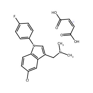 CN(C)Cc1cn(-c2ccc(F)cc2)c2ccc(Cl)cc12.O=C(O)/C=C\C(=O)O